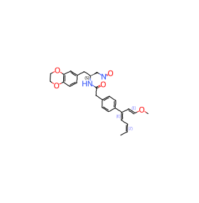 C\C=C/C=C(\C=C\OC)c1ccc(CC(=O)N[C@H](CN=O)Cc2ccc3c(c2)OCCO3)cc1